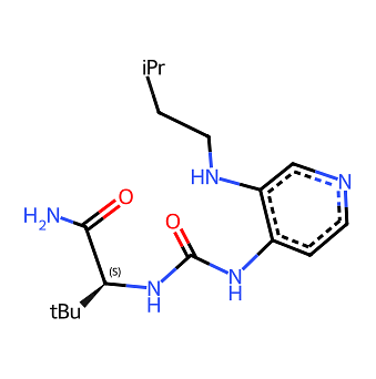 CC(C)CCNc1cnccc1NC(=O)N[C@H](C(N)=O)C(C)(C)C